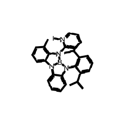 Cc1cccc2c1N(c1cccc[n+]1I)B1N2c2ccccc2N1c1c(C(C)C)cccc1C(C)C